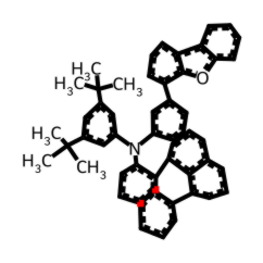 CC(C)(C)c1cc(N(c2cccc(-c3cccc4c3oc3ccccc34)c2)c2ccccc2-c2cccc3cccc(-c4ccccc4)c23)cc(C(C)(C)C)c1